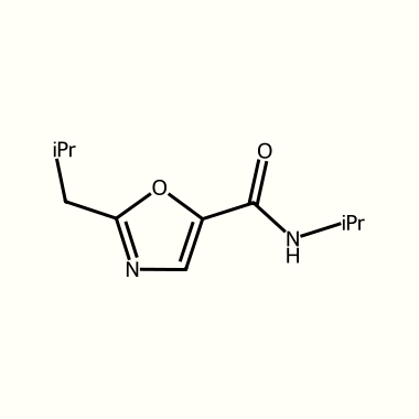 CC(C)Cc1ncc(C(=O)NC(C)C)o1